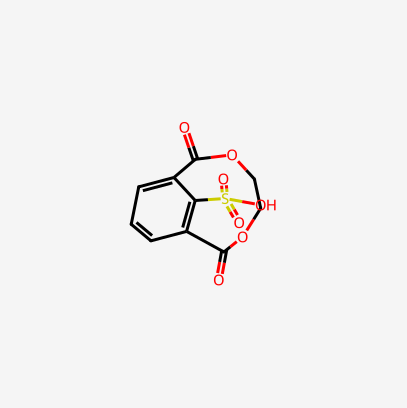 O=C1OCCOC(=O)c2cccc1c2S(=O)(=O)O